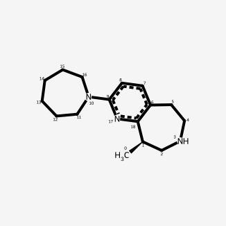 C[C@@H]1CNCCc2ccc(N3CCCCCC3)nc21